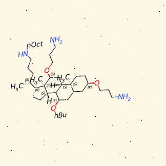 CCCCCCCCNCCC[C@@H](C)[C@H]1CC[C@H]2C3[C@H](OCCCC)CC4C[C@H](OCCCN)CC[C@]4(C)[C@H]3C[C@H](OCCCN)[C@]12C